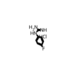 Cl.N=C(N)Nc1ccc(F)cc1